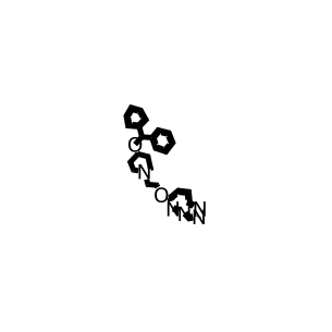 c1ccc(C(OC2CCN(CCOc3ccc4nncn4n3)CC2)c2ccccc2)cc1